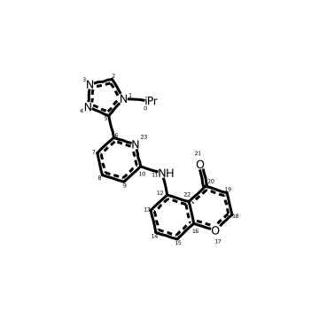 CC(C)n1cnnc1-c1cccc(Nc2cccc3occc(=O)c23)n1